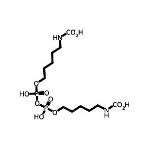 O=C(O)NCCCCCOP(=O)(O)OP(=O)(O)OCCCCCNC(=O)O